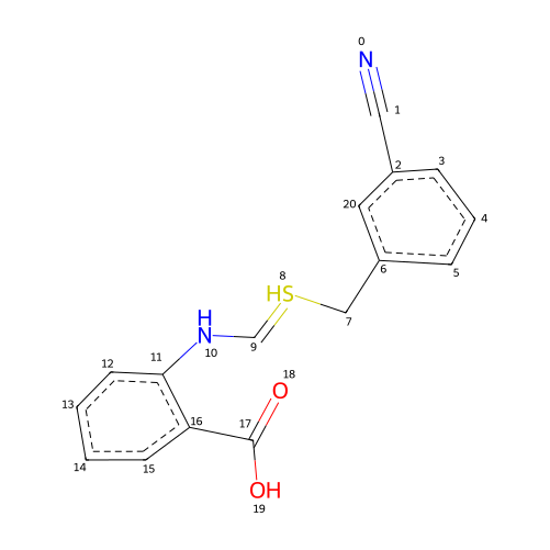 N#Cc1cccc(C[SH]=CNc2ccccc2C(=O)O)c1